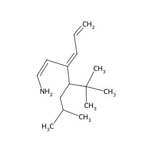 C=C/C=C(\C=C/N)C(CC(C)C)C(C)(C)C